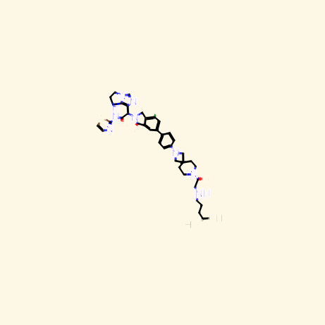 CC(C)CCCNCC(=O)N1CCC2(CC1)CN(c1ccc(-c3cc(F)c4c(c3)C(=O)N(C(C(=O)Nc3nccs3)c3ncn5c3CCC5)C4)cc1)C2